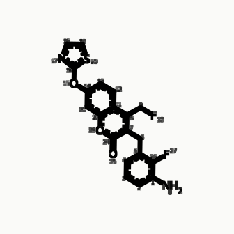 Nc1cccc(Cc2c(CF)c3ccc(Oc4nccs4)cc3oc2=O)c1F